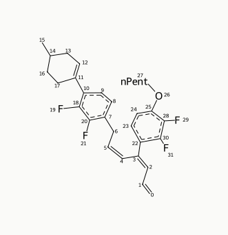 C=C/C=C(\C=C/Cc1ccc(C2=CCC(C)CC2)c(F)c1F)c1ccc(OCCCCC)c(F)c1F